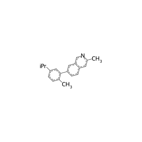 Cc1cc2ccc(-c3cc(C(C)C)ccc3C)cc2cn1